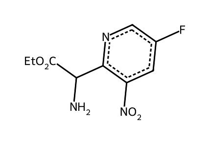 CCOC(=O)C(N)c1ncc(F)cc1[N+](=O)[O-]